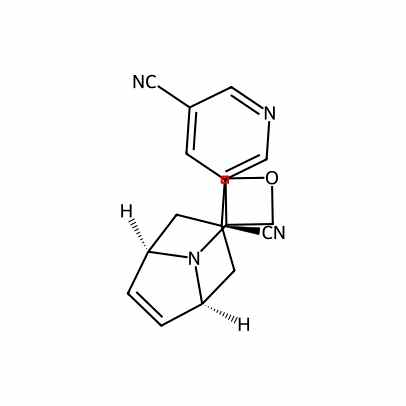 N#Cc1cncc([C@]2(C#N)C[C@H]3C=C[C@@H](C2)N3C2COC2)c1